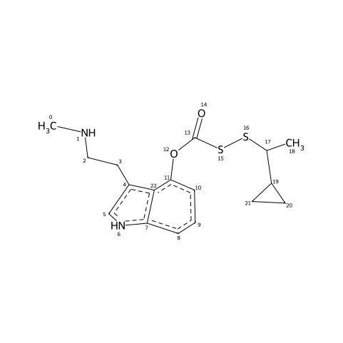 CNCCc1c[nH]c2cccc(OC(=O)SSC(C)C3CC3)c12